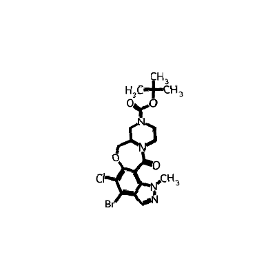 Cn1ncc2c(Br)c(Cl)c3c(c21)C(=O)N1CCN(C(=O)OC(C)(C)C)CC1CO3